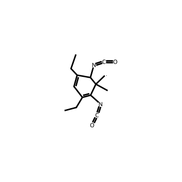 [CH2]C1(C)C(N=C=O)=C(CC)C=C(CC)C1N=C=O